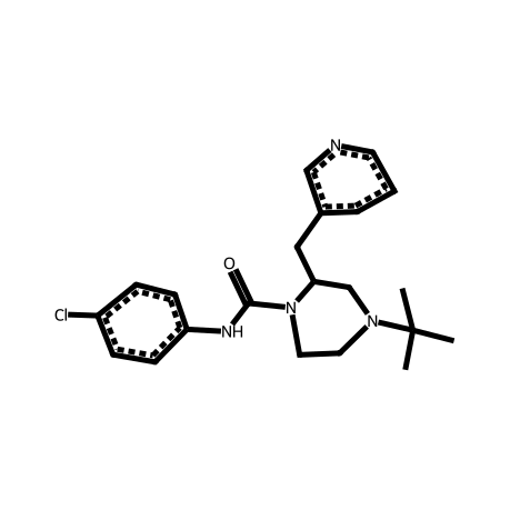 CC(C)(C)N1CCN(C(=O)Nc2ccc(Cl)cc2)C(Cc2cccnc2)C1